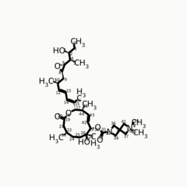 CC[C@H](O)[C@@H](C)[C@H]1O[C@@H]1C[C@H](C)/C=C/C=C(\C)[C@H]1OC(=O)C[C@H](C)CC[C@@](C)(O)[C@@H](OC(=O)N2CC3(C2)C[N+](C)(C)C3)/C=C/[C@@H]1C